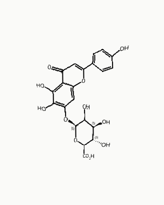 O=C(O)C1O[C@@H](Oc2cc3oc(-c4ccc(O)cc4)cc(=O)c3c(O)c2O)C(O)[C@@H](O)[C@@H]1O